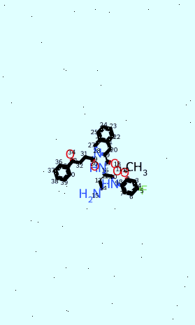 COc1cc(F)ccc1NC(=O)[C@H](CCN)NC(=O)[C@@H]1Cc2ccccc2CN1C(=O)CCC(=O)c1ccccc1